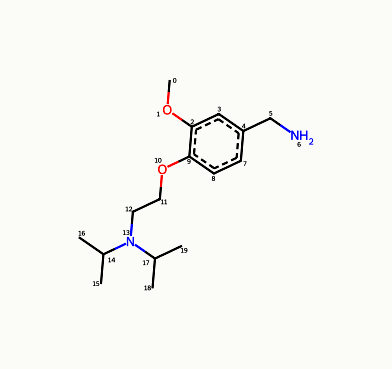 COc1cc(CN)ccc1OCCN(C(C)C)C(C)C